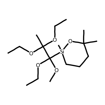 CCOC(C)(OCC)C(OC)(OCC)[Si]1(C)CCCC(C)(C)O1